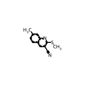 CSc1nc2cc(C)ccc2cc1C#N